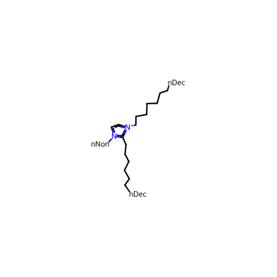 CCCCCCCCCCCCCCCCC[n+]1ccn(CCCCCCCCC)c1CCCCCCCCCCCCCCCC